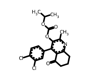 Cc1nc2c(c(-c3ccc(Cl)c(Cl)c3)c1OC(=O)OC(C)C)C(=O)CCC2